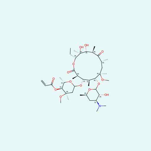 C=CC(=O)O[C@H]1[C@H](C)OC(O[C@H]2[C@H](C)[C@@H](OC3O[C@H](C)C[C@H](N(C)C)[C@H]3O)[C@](C)(OC)C[C@@H](C)C(=O)[C@H](C)[C@@H](O)[C@](C)(O)[C@@H](CC)OC(=O)[C@@H]2C)C[C@@]1(C)OC